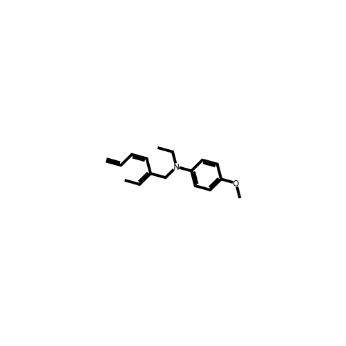 C=C/C=C\C(=C/C)CN(CC)c1ccc(OC)cc1